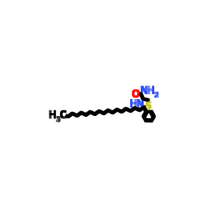 CCCCCCCCCCCCCCCCCCC1(c2ccccc2)NC(C(N)=O)CS1